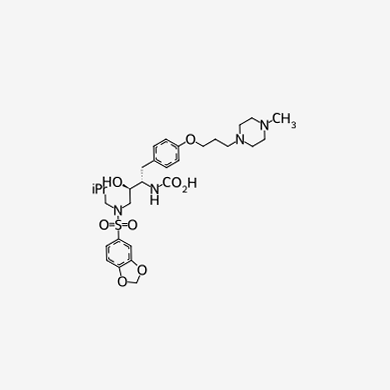 CC(C)CN(C[C@@H](O)[C@H](Cc1ccc(OCCCN2CCN(C)CC2)cc1)NC(=O)O)S(=O)(=O)c1ccc2c(c1)OCO2